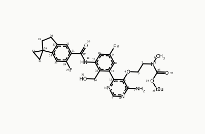 CN(CCOc1c(N)ncnc1-c1cc(F)cc(NC(=O)c2cc3c(cc2F)C2(CC3)CC2)c1CO)C(=O)OC(C)(C)C